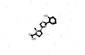 CN1C(C(=O)O)CCC1[C@H]1CSC(c2ccccc2O)=N1